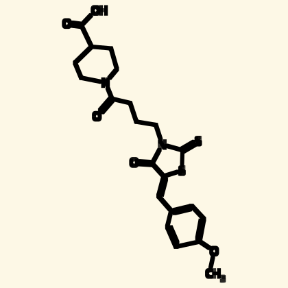 COc1ccc(/C=C2\SC(=S)N(CCCC(=O)N3CCC(C(=O)O)CC3)C2=O)cc1